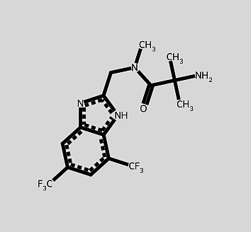 CN(Cc1nc2cc(C(F)(F)F)cc(C(F)(F)F)c2[nH]1)C(=O)C(C)(C)N